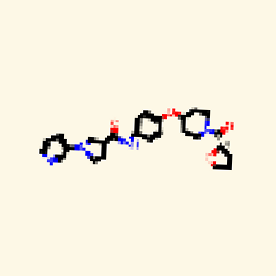 O=C(Nc1ccc(OC2CCN(C(=O)[C@@H]3CCCO3)CC2)cc1)C1CCN(c2cccnc2)C1